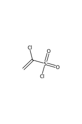 C=C(Cl)S(=O)(=O)Cl